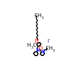 CCCCCCCCCCCCCCOc1cccc(CN(C(=O)c2cccc[n+]2CCC)c2ccccc2)c1C.[I-]